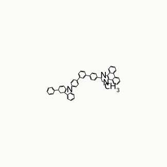 CN1CC(c2ccc(-c3cccc(-c4ccc(-n5c6c(c7ccccc75)CC(c5ccccc5)C=C6)cc4)c3)cc2)=Nc2c1c1ccccc1c1ccccc21